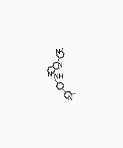 Cc1ccc(-c2cc3ccnc(NCc4ccc(-c5ccnc(C)c5)cc4)c3cn2)cn1